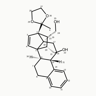 CC1([C@]23C=CC4([C@@H]5CCc6ccccc6[C@H]5CC[C@@]42C)[C@@H](CO)[C@H]3CO)OCCO1